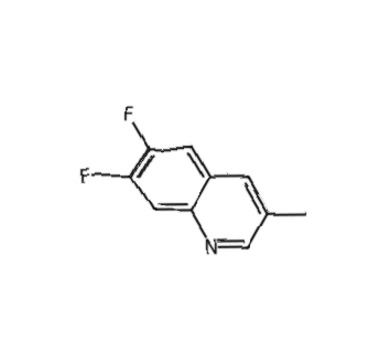 Cc1cnc2cc(F)c(F)cc2c1